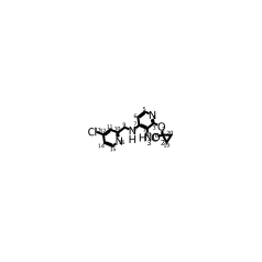 CC1(Oc2nccc(NCc3cc(Cl)ccn3)c2[N+](=O)[O-])CC1